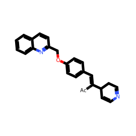 CC(=O)/C(=C\c1ccc(OCc2ccc3ccccc3n2)cc1)C1C=CN=CC1